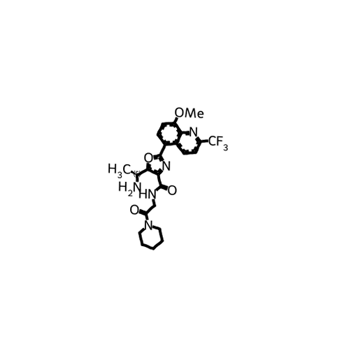 COc1ccc(-c2nc(C(=O)NCC(=O)N3CCCCC3)c([C@H](C)N)o2)c2ccc(C(F)(F)F)nc12